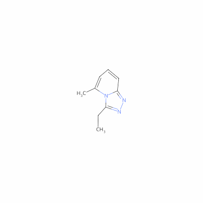 CCc1nnc2cccc(C)n12